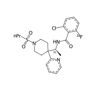 CCCS(=O)(=O)N1CCC(c2ccccn2)([C@H](C)NC(=O)c2c([18F])cccc2Cl)CC1